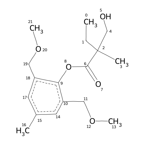 CCC(C)(CO)C(=O)Oc1c(COC)cc(C)cc1COC